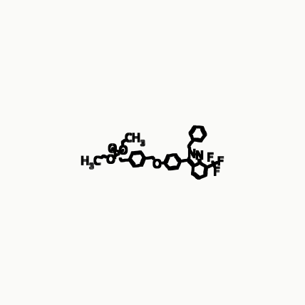 CCOP(=O)(Cc1ccc(COc2ccc(-c3c4cccc(C(F)(F)F)c4nn3Cc3ccccc3)cc2)cc1)OCC